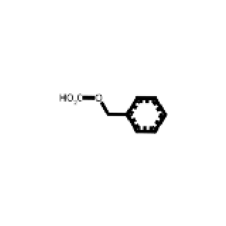 O=C(O)OCc1ccccc1